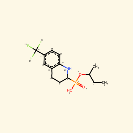 CCC(C)OP(=O)(O)C1CCc2cc(C(F)(F)F)ccc2N1